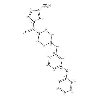 O=C(O)c1ccn(C(=O)N2CCN(Cc3cccc(Oc4cccnn4)c3)CC2)n1